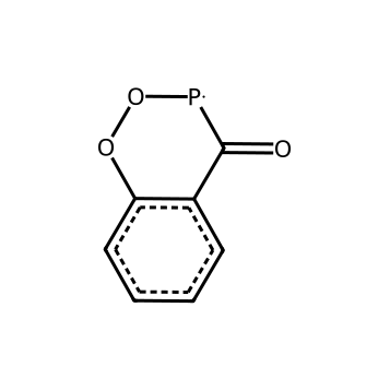 O=C1[P]OOc2ccccc21